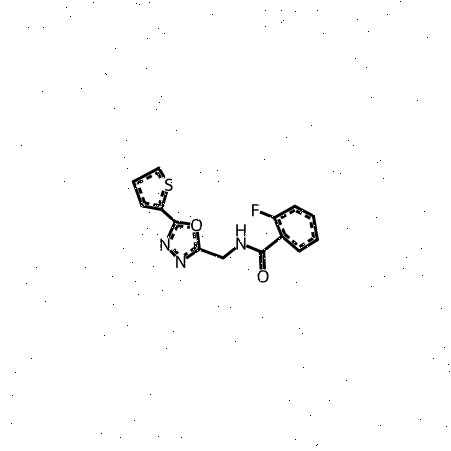 O=C(NCc1nnc(-c2cccs2)o1)c1ccccc1F